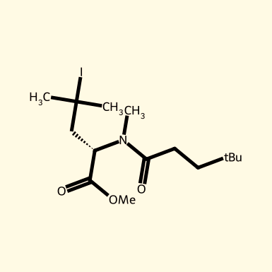 COC(=O)[C@H](CC(C)(C)I)N(C)C(=O)CCC(C)(C)C